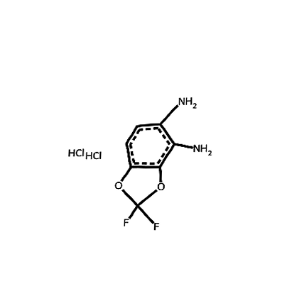 Cl.Cl.Nc1ccc2c(c1N)OC(F)(F)O2